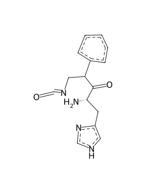 N[C@@H](Cc1c[nH]cn1)C(=O)C(CN=C=O)c1ccccc1